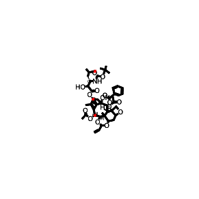 C=CC1OC2CC3OC[C@@]3(OC(C)=O)[C@H]3[C@H](OC(=O)c4ccccc4)C4(O)C[C@H](OC(=O)C(O)[C@H](CC(C)C)NC(=O)OC(C)(C)C)C(C)=C([C@H](OC(C)=O)[C@H](O1)C23C)C4(C)C